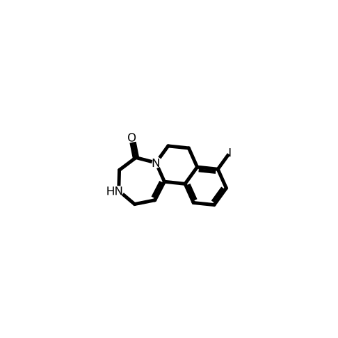 O=C1CNCC=C2c3cccc(I)c3CCN12